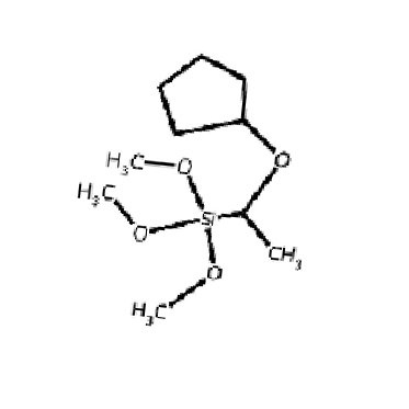 CO[Si](OC)(OC)C(C)OC1CCCC1